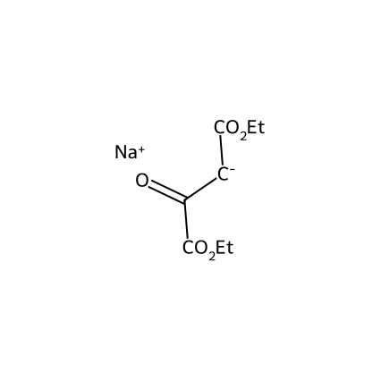 CCOC(=O)[CH-]C(=O)C(=O)OCC.[Na+]